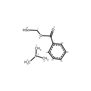 CN(C)C.O=C(O[CH2][SnH])c1ccccc1